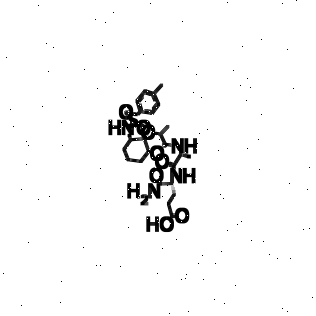 Cc1ccc(S(=O)(=O)N[C@@H]2CCCC[C@H]2OC(C)C(=O)N[C@@H](C)C(=O)N[C@H](CCC(=O)O)C(N)=O)cc1